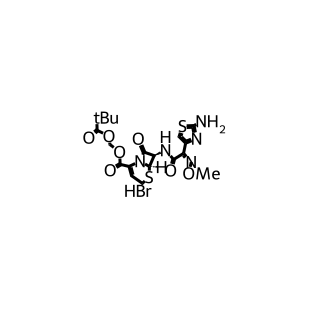 Br.CO/N=C(\C(=O)N[C@@H]1C(=O)N2C(C(=O)OCOC(=O)C(C)(C)C)=CCS[C@H]12)c1csc(N)n1